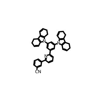 N#Cc1cccc(-c2cccc(-c3cc(-n4c5c(c6c4C=CCC6)CCC=C5)cc(-n4c5c(c6c4CCC=C6)CCC=C5)c3)n2)c1